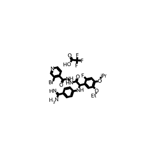 CCOc1cc(C(Nc2ccc(C(=N)N)cc2)C(=O)NNC(=O)c2ccncc2Br)c(F)cc1OC(C)C.O=C(O)C(F)(F)F